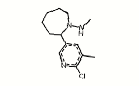 CNN1CCCCCC1c1cnc(Cl)c(C)c1